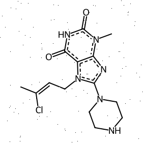 CC(Cl)=CCn1c(N2CCNCC2)nc2c1c(=O)[nH]c(=O)n2C